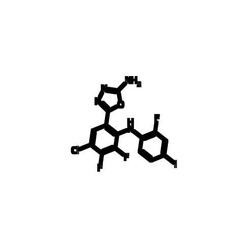 Nc1nnc(-c2cc(Cl)c(F)c(F)c2Nc2ccc(I)cc2F)o1